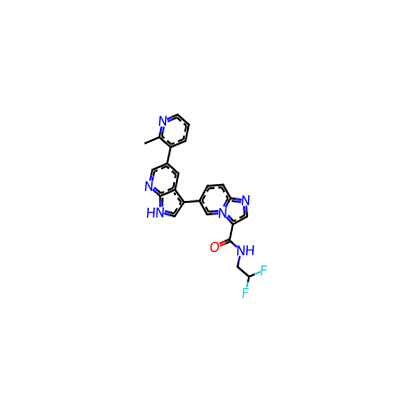 Cc1ncccc1-c1cnc2[nH]cc(-c3ccc4ncc(C(=O)NCC(F)F)n4c3)c2c1